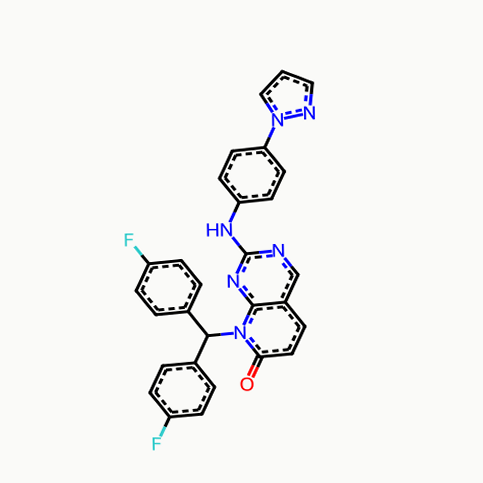 O=c1ccc2cnc(Nc3ccc(-n4cccn4)cc3)nc2n1C(c1ccc(F)cc1)c1ccc(F)cc1